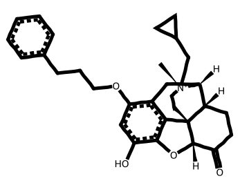 C[N@+]1(CC2CC2)CC[C@]23c4c5c(OCCCc6ccccc6)cc(O)c4O[C@H]2C(=O)CC[C@H]3[C@H]1C5